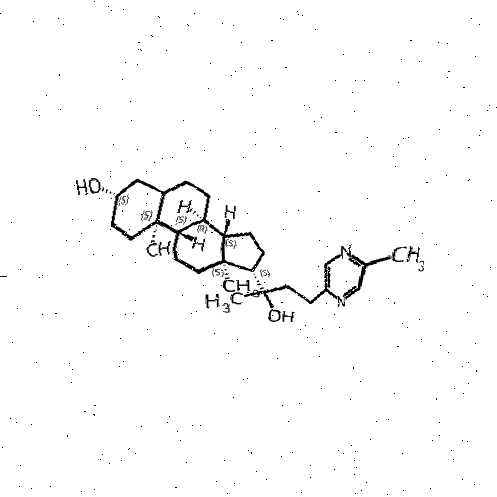 Cc1cnc(CCC(C)(O)[C@H]2CC[C@H]3[C@@H]4CCC5C[C@@H](O)CC[C@]5(C)[C@H]4CC[C@]23C)cn1